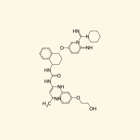 CC(=N)/C=C(/NC(=O)NC1CC[C@@H](Oc2ccc(=N)n(C(=N)N3CCCCC3)c2)c2ccccc21)Nc1cccc(OCCO)c1